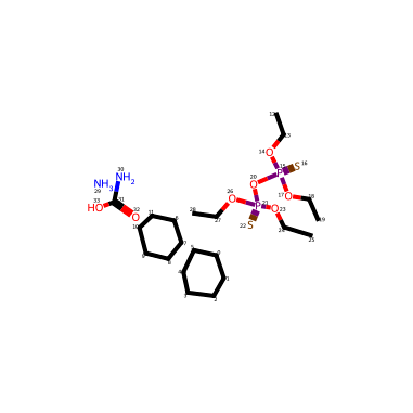 C1CCCCC1.C1CCCCC1.CCOP(=S)(OCC)OP(=S)(OCC)OCC.N.NC(=O)O